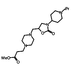 COC(=O)CCN1CCN(CC2CN(C3CCN(C(C)C)CC3)C(=O)O2)CC1